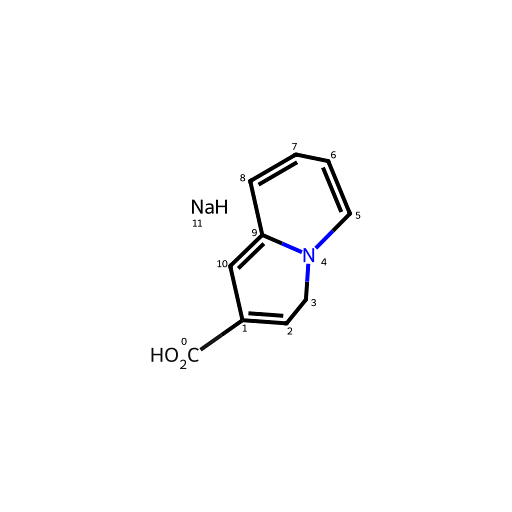 O=C(O)C1=CCN2C=CC=CC2=C1.[NaH]